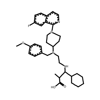 COc1ccc(CN(CCNC(C2CCCCC2)C(C)C(=O)O)C2CCN(c3nccc4ccc(F)cc34)CC2)cc1